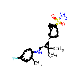 Cc1cc(F)ccc1NC[C@H]1[C@H](c2ccc(S(N)(=O)=O)cc2)C1(C)C